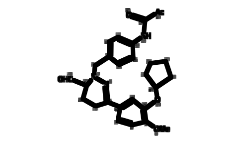 COc1ccc(C2=NN(Cc3ccc(NC(=O)C(C)=O)cc3)C(C=O)CC2)cc1OC1CCCC1